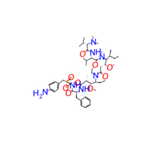 CC[C@H](C)[C@@H]([C@@H](CC(=O)N(CC)[C@@H](CC)[C@H](OC)[C@@H](C)C(=O)N[C@@H](Cc1ccccc1)C(=O)NS(=O)(=O)Cc1ccc(N)cc1)OC)N(C)C(=O)[C@@H](NC(=O)[C@H](C(C)C)N(C)C)C(C)C